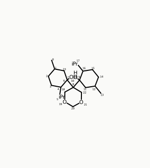 CC1CCC(C(C)C)C(O)(C2(C3(O)CC(C)CCC3C(C)C)COCOC2)C1